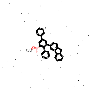 CC(C)(C)OBc1cc(-c2ccccc2)cc(-c2ccc3c(c2)-c2ccccc2C3)c1-c1ccccc1